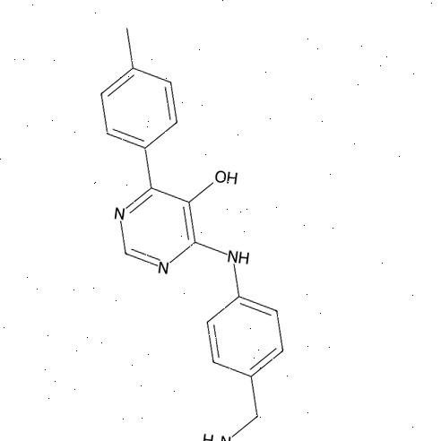 Cc1ccc(-c2ncnc(Nc3ccc(CN)cc3)c2O)cc1